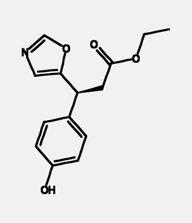 CCOC(=O)C[C@@H](c1ccc(O)cc1)c1cnco1